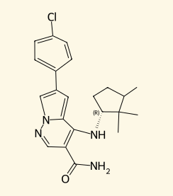 CC1CC[C@@H](Nc2c(C(N)=O)cnn3cc(-c4ccc(Cl)cc4)cc23)C1(C)C